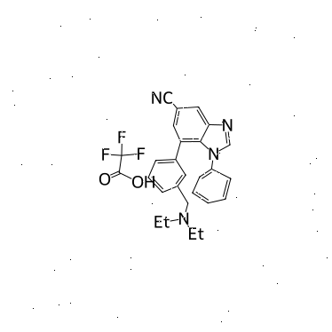 CCN(CC)Cc1cccc(-c2cc(C#N)cc3ncn(-c4ccccc4)c23)c1.O=C(O)C(F)(F)F